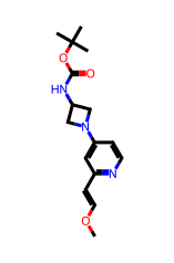 CO/C=C/c1cc(N2CC(NC(=O)OC(C)(C)C)C2)ccn1